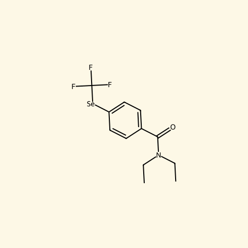 CCN(CC)C(=O)c1ccc([Se]C(F)(F)F)cc1